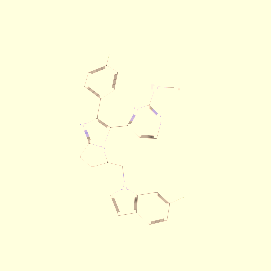 CCCCNc1nccc(-c2c(-c3ccc(F)cc3)nc3n2C(Cn2ccc4ccc(Cl)cc42)CC3)n1